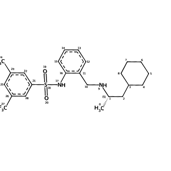 C[C@@H](CC1CCCCC1)NCc1ccccc1NS(=O)(=O)c1cc(C(F)(F)F)cc(C(F)(F)F)c1